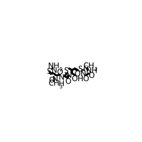 CON=C(C(=O)NC1C(=O)N2C(C(=O)O)=C(C=CSc3nc(=O)c(=O)[nH]n3C)CSC12)c1csc(N)n1